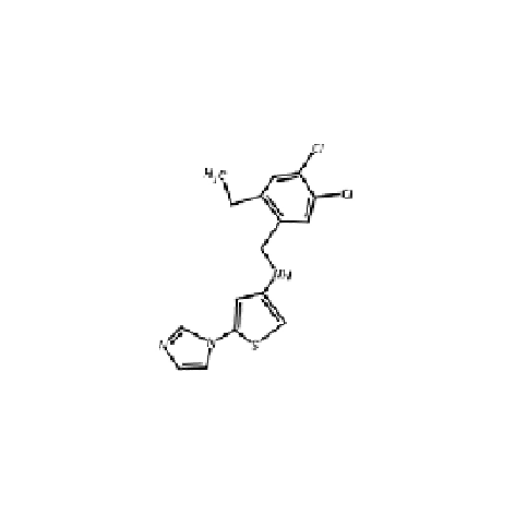 CCc1cc(Cl)c(Cl)cc1CNc1csc(-n2ccnc2)c1